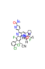 CN(C)C(=O)c1ccc(-c2nc3c(F)c(-c4cccc(Cl)c4Cl)c(CCC#N)cc3c3c2cc([C@H]2CCCN2C(=O)C2(F)CC2)n3[C@H]2[C@H]3CN[C@@H]2C3)cn1